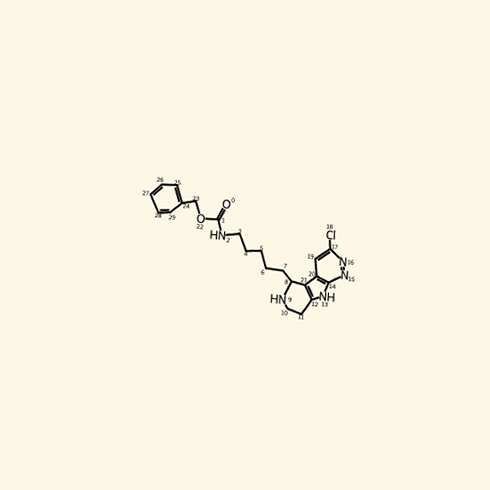 O=C(NCCCCCC1NCCc2[nH]c3nnc(Cl)cc3c21)OCc1ccccc1